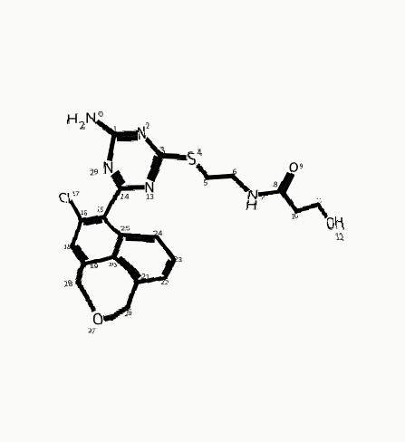 Nc1nc(SCCNC(=O)CCO)nc(-c2c(Cl)cc3c4c(cccc24)COC3)n1